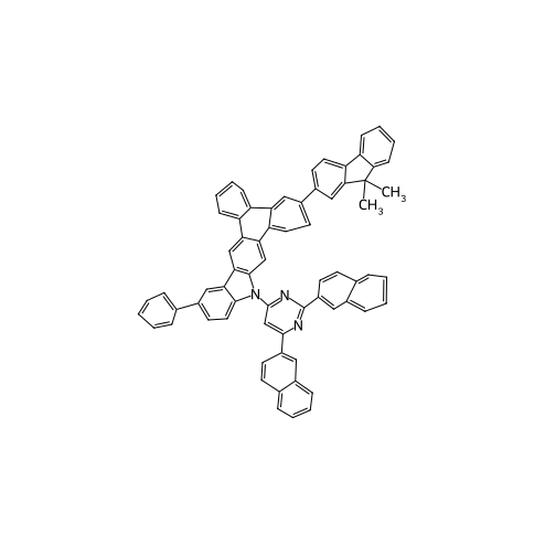 CC1(C)c2ccccc2-c2ccc(-c3ccc4c(c3)c3ccccc3c3cc5c6cc(-c7ccccc7)ccc6n(-c6cc(-c7ccc8ccccc8c7)nc(-c7ccc8ccccc8c7)n6)c5cc43)cc21